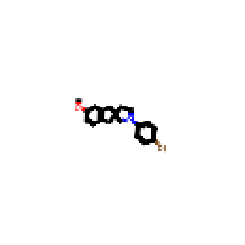 COc1ccc2c(c1)CC1(CCN(c3ccc(Br)cc3)C1)C2